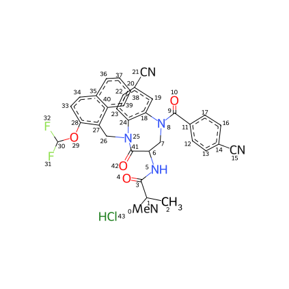 CNC(C)C(=O)NC1CN(C(=O)c2ccc(C#N)cc2)c2cc(C#N)ccc2N(Cc2c(OC(F)F)ccc3ccccc23)C1=O.Cl